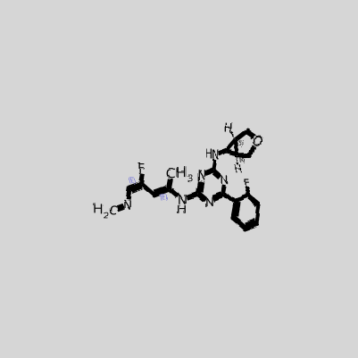 C=N/C=C(F)\C=C(/C)Nc1nc(NC2[C@H]3COC[C@@H]23)nc(-c2ccccc2F)n1